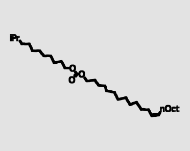 CCCCCCCC/C=C\CCCCCCCCCCCCOC(=O)OCCCCCCCCCC(C)C